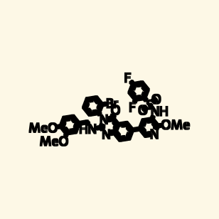 COc1ccc(CNc2nc3ccc(-c4cnc(OC)c(NS(=O)(=O)c5ccc(F)cc5F)c4)cc3c(=O)n2-c2ccccc2Br)cc1OC